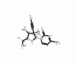 C[C@@H](O)[C@H]1O[C@@H](n2ccc(N)nc2=O)[C@@](N)(C#CCl)C1O